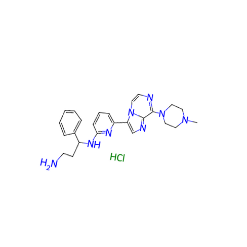 CN1CCN(c2nccn3c(-c4cccc(NC(CCN)c5ccccc5)n4)cnc23)CC1.Cl